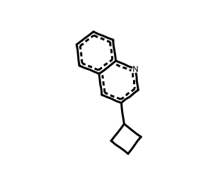 c1ccc2ncc(C3CCC3)cc2c1